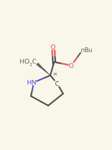 CCCCOC(=O)[C@]1(C(=O)O)CCCCN1